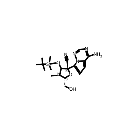 C[C@H]1C(O[Si](C)(C)C(C)(C)C)[C@](C#N)(c2ccc3c(N)ncnn23)O[C@@H]1CO